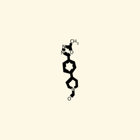 Cc1nnc(-c2ccc(C3=CCN(C=O)CC3)cc2)o1